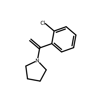 C=C(c1ccccc1Cl)N1CCCC1